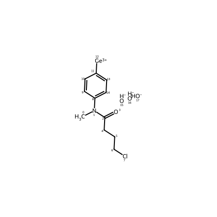 CN(C(=O)CCCCl)c1cc[c]([Ge+3])cc1.[OH-].[OH-].[OH-]